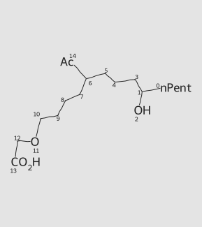 CCCCCC(O)CCCC(CCCCOCC(=O)O)C(C)=O